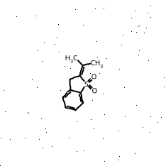 CC(C)=C1Cc2ccccc2S1(=O)=O